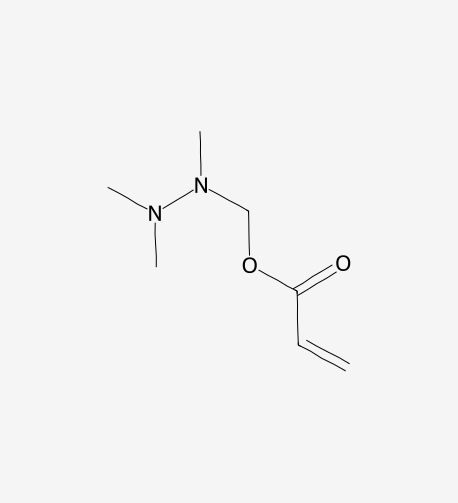 C=CC(=O)OCN(C)N(C)C